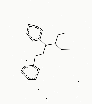 CCC(CC)C(CCc1ccccc1)c1ccccc1